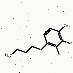 CCCCCc1ccc(O)c(F)c1F